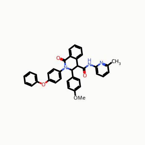 COc1ccc(C2C(C(=O)Nc3cccc(C)n3)c3ccccc3C(=O)N2c2ccc(Oc3ccccc3)cc2)cc1